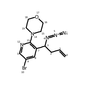 C=CCC(N=[N+]=[N-])c1cc(Br)cnc1N1CCOCC1